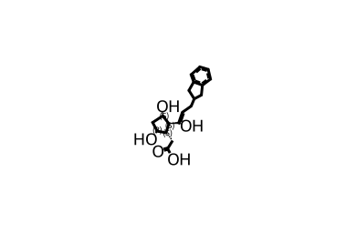 O=C(O)C[C@H]1[C@H](C(O)=CCC2Cc3ccccc3C2)[C@@H](O)C[C@H]1O